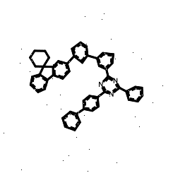 c1ccc(-c2ccc(-c3nc(-c4ccccc4)nc(-c4cccc(-c5cccc(-c6ccc7c(c6)C6(CCCCC6)c6ccccc6-7)c5)c4)n3)cc2)cc1